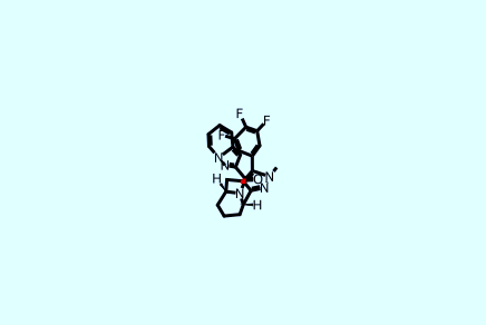 Cn1nc2c(c1-c1cc(F)c(F)c(F)c1)C[C@H]1CCC[C@@H]2N1C(=O)c1cc2ccccn2n1